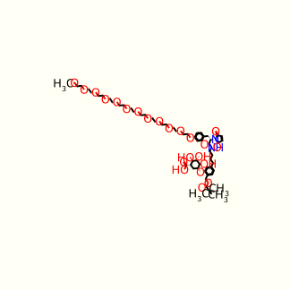 COCCOCCOCCOCCOCCOCCOCCOCCOCCOCCOCCOc1ccc(C[C@@H](C(=O)NCCCCc2ccc(COC(=O)C(C)(C)C)c(O[C@@H]3C[C@H](C(=O)O)[C@@H](O)[C@H](O)[C@H]3O)c2)N2C(=O)C=CC2=O)cc1